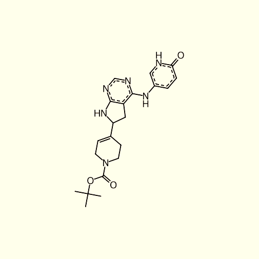 CC(C)(C)OC(=O)N1CC=C(C2Cc3c(Nc4ccc(=O)[nH]c4)ncnc3N2)CC1